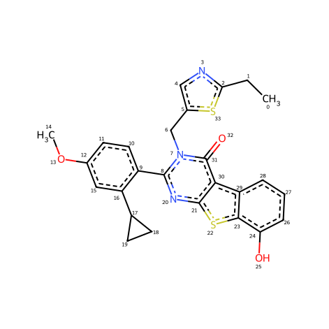 CCc1ncc(Cn2c(-c3ccc(OC)cc3C3CC3)nc3sc4c(O)cccc4c3c2=O)s1